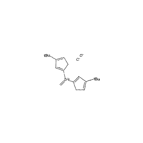 [CH2]=[Zr+2]([C]1=CC(C(C)(C)C)=CC1)[C]1=CC(C(C)(C)C)=CC1.[Cl-].[Cl-]